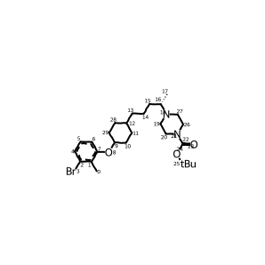 Cc1c(Br)cccc1OC1CCC(CCC[C@H](C)N2CCN(C(=O)OC(C)(C)C)CC2)CC1